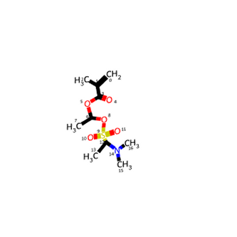 C=C(C)C(=O)OC(C)OS(=O)(=O)C(C)N(C)C